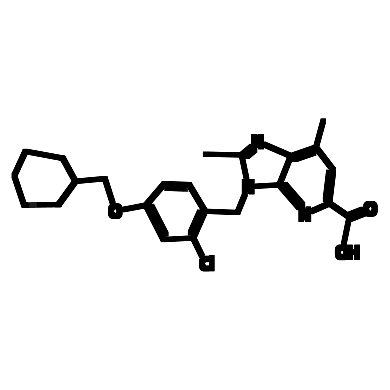 Cc1cc(C(=O)O)nc2c1nc(C)n2Cc1ccc(OCC2CCCCC2)cc1Cl